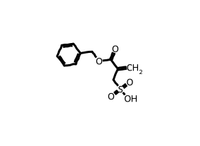 C=C(CS(=O)(=O)O)C(=O)OCc1ccccc1